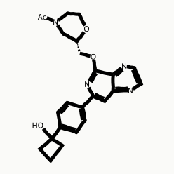 CC(=O)N1CCO[C@H](COc2nc(-c3ccc(C4(O)CCC4)cc3)cc3nccnc23)C1